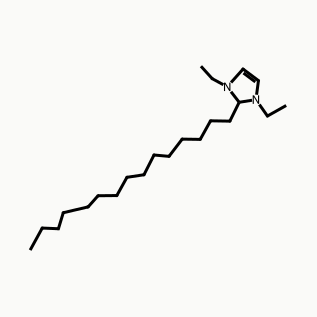 CCCCCCCCCCCCCCCC1N(CC)C=CN1CC